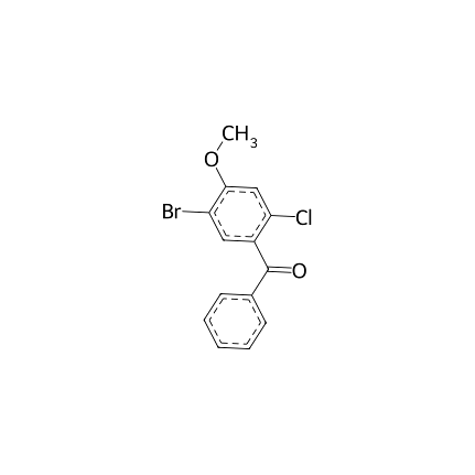 COc1cc(Cl)c(C(=O)c2ccccc2)cc1Br